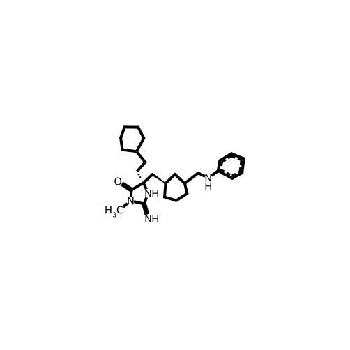 CN1C(=N)N[C@](CCC2CCCCC2)(C[C@@H]2CCCC(CNc3ccccc3)C2)C1=O